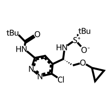 CC(C)(C)C(=O)Nc1cc([C@@H](COC2CC2)N[S@+]([O-])C(C)(C)C)c(Cl)nn1